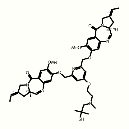 C/C=C1\C[C@H]2C=Nc3cc(OCc4cc(OCCN(C)CC(C)(C)S)cc(COc5cc6c(cc5OC)C(=O)N5C/C(=C/C)C[C@H]5C=N6)n4)c(OC)cc3C(=O)N2C1